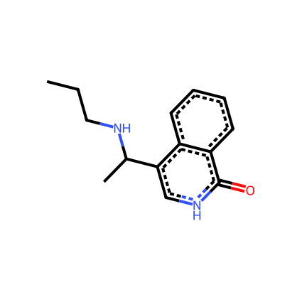 CCCNC(C)c1c[nH]c(=O)c2ccccc12